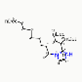 CCCCCCCCCCCCCCCCCC(C)[n+]1cc[nH]c1C(CCCCCCCC)CCCCCCCCCCC